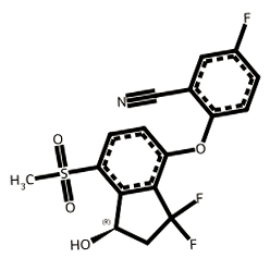 CS(=O)(=O)c1ccc(Oc2ccc(F)cc2C#N)c2c1[C@H](O)CC2(F)F